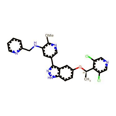 COc1ncc(-c2n[nH]c3ccc(O[C@H](C)c4c(Cl)cncc4Cl)cc23)cc1NCc1ccccn1